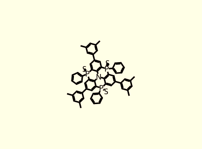 Cc1cc(C)cc(-c2cc3c4c(c2)P(=S)(c2ccccc2)c2cc(-c5cc(C)cc(C)c5)cc5c2N4c2c(cc(-c4cc(C)cc(C)c4)cc2P5(=S)c2ccccc2)P3(=S)c2ccccc2)c1